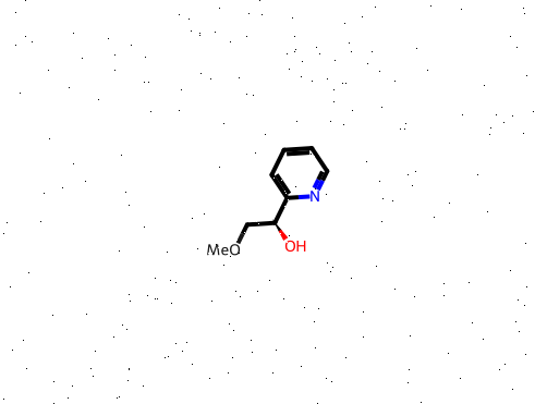 COC[C@H](O)c1ccccn1